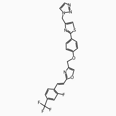 Fc1cc(C(F)(F)F)ccc1C=Cc1nc(COc2ccc(-c3nc(Cn4ccnn4)cs3)cc2)co1